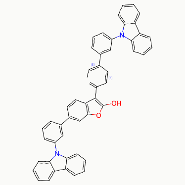 C=C(/C=C\C(=C/C)c1cccc(-n2c3ccccc3c3ccccc32)c1)c1c(O)oc2cc(-c3cccc(-n4c5ccccc5c5ccccc54)c3)ccc12